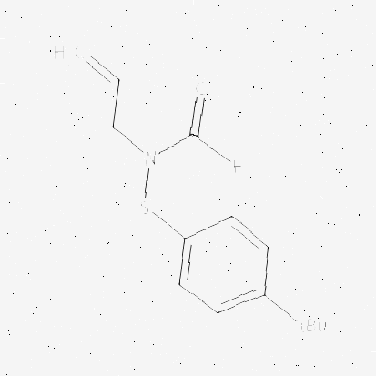 C=CCN(Sc1ccc(C(C)(C)C)cc1)C(=O)F